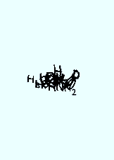 CC1(C)[C@@H]2C[C@@H](O)[C@@](C)(OB[C@@H](N)CC3COc4ccccc43)[C@H]1C2